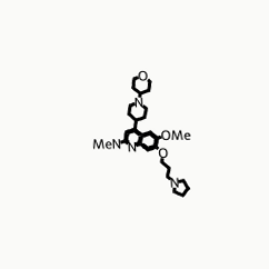 CNc1cc(C2CCN(C3CCOCC3)CC2)c2cc(OC)c(OCCCN3CCCC3)cc2n1